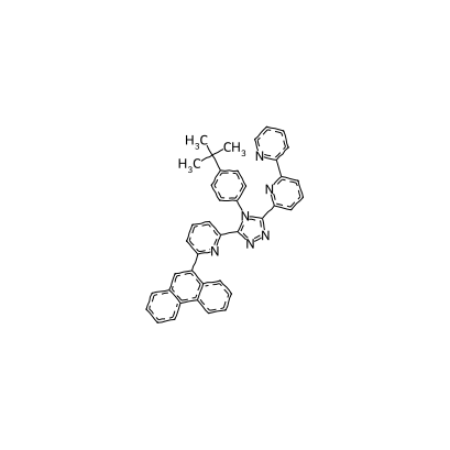 CC(C)(C)c1ccc(-n2c(-c3cccc(-c4ccccn4)n3)nnc2-c2cccc(-c3cc4ccccc4c4ccccc34)n2)cc1